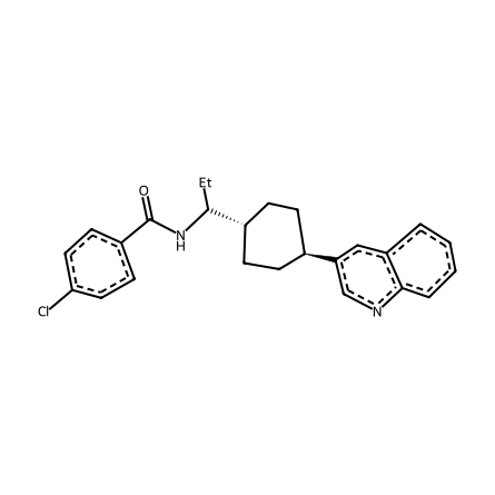 CCC(NC(=O)c1ccc(Cl)cc1)[C@H]1CC[C@H](c2cnc3ccccc3c2)CC1